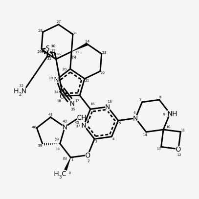 C[C@H](Oc1cc(N2CCNC3(COC3)C2)nc(-c2onc3c2CCC[C@@]32CCCc3sc(N)c(C#N)c32)n1)[C@@H]1CCCN1C